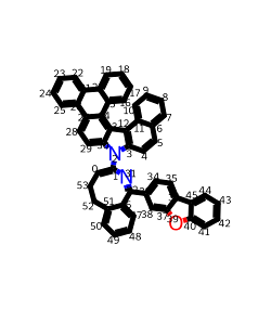 C1=C(n2c3ccc4ccccc4c3c3c4c5ccccc5c5ccccc5c4ccc32)\N=C(\c2ccc3c(c2)oc2ccccc23)c2ccccc2CC/1